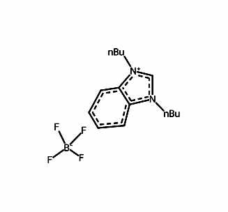 CCCCn1c[n+](CCCC)c2ccccc21.F[B-](F)(F)F